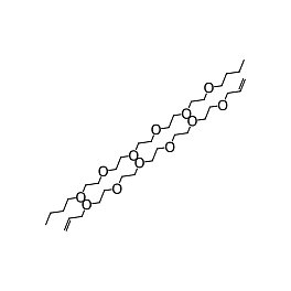 C=CCOCCOCCOCCOCCOCCOCC=C.CCCCOCCOCCOCCOCCOCCOCCCC